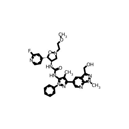 COCCN1C[C@@H](NC(=O)Nc2c(C)c(-c3cnc4c(c3)c(CO)nn4C)nn2-c2ccccc2)[C@H](c2ccnc(F)c2)O1